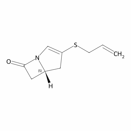 C=CCSC1=CN2C(=O)C[C@H]2C1